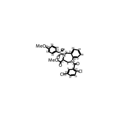 COC(=O)C1CN(C(=O)c2cc(Cl)ccc2Cl)c2ccccc2CN1S(=O)(=O)c1ccc(OC)cc1